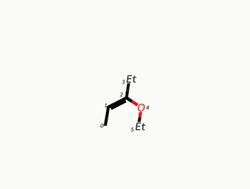 CC=C(CC)OCC